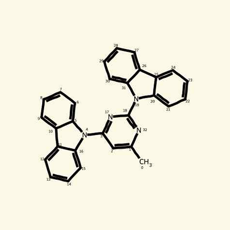 Cc1cc(-n2c3ccccc3c3ccccc32)nc(-n2c3ccccc3c3ccccc32)n1